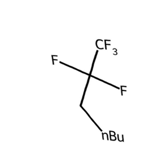 [CH2]CCCCC(F)(F)C(F)(F)F